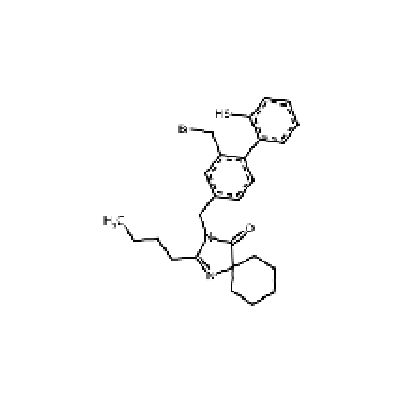 CCCCC1=NC2(CCCCC2)C(=O)N1Cc1ccc(-c2ccccc2S)c(CBr)c1